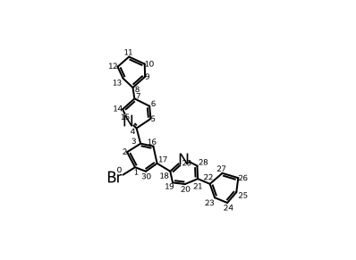 Brc1cc(-c2ccc(-c3ccccc3)cn2)cc(-c2ccc(-c3ccccc3)cn2)c1